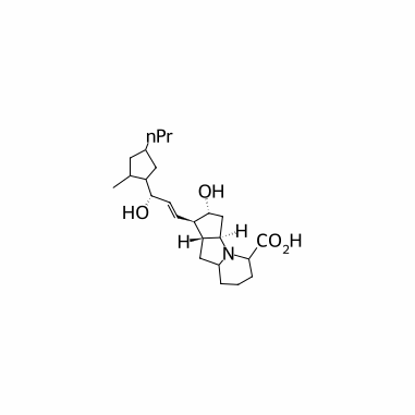 CCCC1CC(C)C([C@@H](O)/C=C/[C@@H]2[C@H]3CC4CCCC(C(=O)O)N4[C@@H]3C[C@H]2O)C1